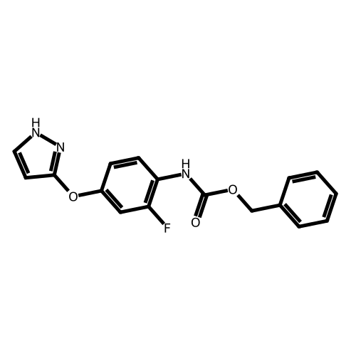 O=C(Nc1ccc(Oc2cc[nH]n2)cc1F)OCc1ccccc1